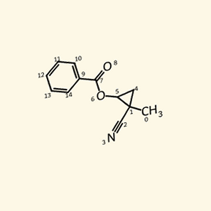 CC1(C#N)CC1OC(=O)c1ccccc1